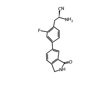 N#C[C@@H](N)Cc1ccc(-c2ccc3c(c2)C(=O)NC3)cc1F